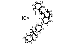 Cl.O=S(=O)(c1ccc(-c2ccc3ncnc(Nc4ccccc4)c3c2)cc1)N1CCOCC1